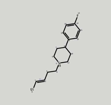 CC/C=C/CC[SiH]1CCC(c2ccc(F)cc2)CC1